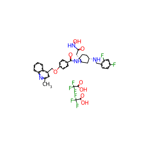 Cc1cc(COc2ccc(C(=O)N[C@]3(CC(=O)NO)CC[C@@H](NCc4ccc(F)cc4F)CC3)cc2)c2ccccc2n1.O=C(O)C(F)(F)F.O=C(O)C(F)(F)F